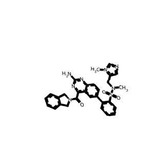 CN(Cc1cncn1C)S(=O)(=O)c1ccccc1-c1ccc2nc(N)nc(C(=O)N3Cc4ccccc4C3)c2c1